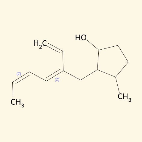 C=C/C(=C\C=C/C)CC1C(C)CCC1O